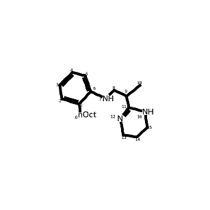 CCCCCCCCc1ccccc1NCC(C)C1=NCCCN1